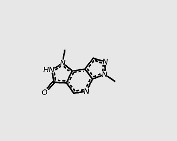 Cn1ncc2c1ncc1c(=O)[nH]n(C)c12